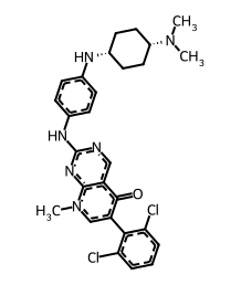 Cn1cc(-c2c(Cl)cccc2Cl)c(=O)c2cnc(Nc3ccc(N[C@H]4CC[C@@H](N(C)C)CC4)cc3)nc21